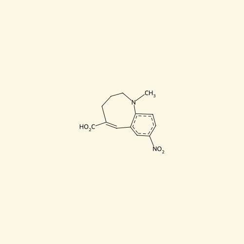 CN1CCCC(C(=O)O)=Cc2cc([N+](=O)[O-])ccc21